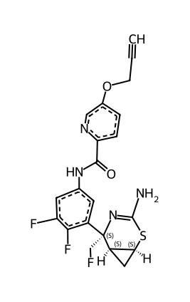 C#CCOc1ccc(C(=O)Nc2cc(F)c(F)c([C@@]3(CF)N=C(N)S[C@H]4C[C@H]43)c2)nc1